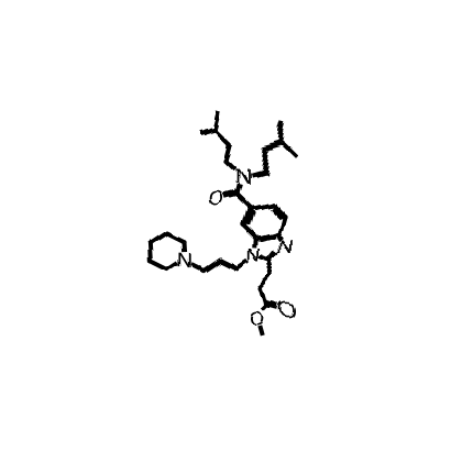 COC(=O)CCc1nc2ccc(C(=O)N(CCC(C)C)CCC(C)C)cc2n1CCCN1CCCCC1